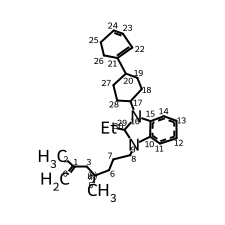 C=C(C)C[C@H](C)CCCN1c2ccccc2N(C2CCC(C3=CC=CCC3)CC2)C1CC